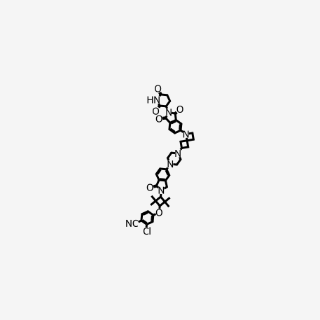 CC1(C)C(Oc2ccc(C#N)c(Cl)c2)C(C)(C)C1N1Cc2cc(N3CCN(C4CC5(CCN5c5ccc6c(c5)C(=O)N(C5CCC(=O)NC5=O)C6=O)C4)CC3)ccc2C1=O